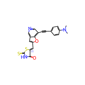 CN(C)c1ccc(C#Cc2cncc3cc(/C=C4\SC(=S)NC4=O)oc23)cc1